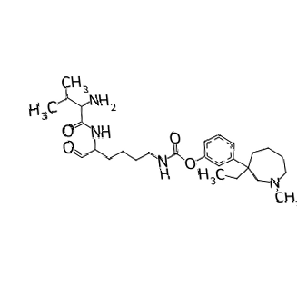 CCC1(c2cccc(OC(=O)NCCCCC(C=O)NC(=O)C(N)C(C)C)c2)CCCCN(C)C1